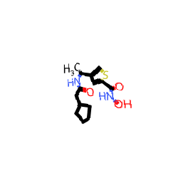 CC(NC(=O)CC1CCCC1)c1csc(C(=O)NO)c1